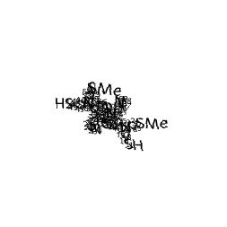 CSc1ccc(N(c2ccc(CS)cc2)c2ccc(C3=C4C(=O)N(c5ccc6cccnc6c5)C(c5ccc(N(c6ccc(CS)cc6)c6ccc(SC)cc6)c6ccoc56)=C4C(=O)N3c3ccc4cccnc4c3)c3occc23)cc1